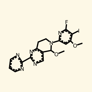 COc1cc(N2CCc3nc(-c4ncccn4)ncc3C2OC)nc(F)c1I